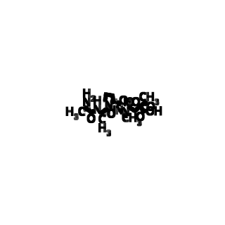 CC(=O)C(O)(CC(=O)N(C)NC(=O)[C@@H]1CCCN1C(=O)[C@H](C)NC(=O)[C@H](C)N)C(=O)O